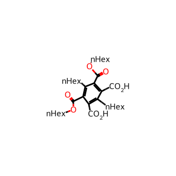 CCCCCCOC(=O)c1c(CCCCCC)c(C(=O)OCCCCCC)c(C(=O)O)c(CCCCCC)c1C(=O)O